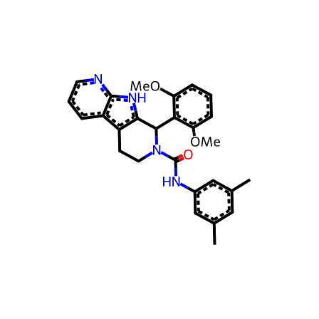 COc1cccc(OC)c1C1c2[nH]c3ncccc3c2CCN1C(=O)Nc1cc(C)cc(C)c1